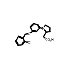 O=C(O)CC1CCCN1c1cccc(OCc2ccccc2Cl)c1